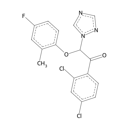 Cc1cc(F)ccc1OC(C(=O)c1ccc(Cl)cc1Cl)n1cncn1